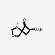 O=C(O)C1CC2(COCN2)C1=O